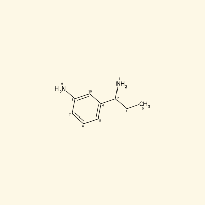 CCC(N)c1cc[c]c(N)c1